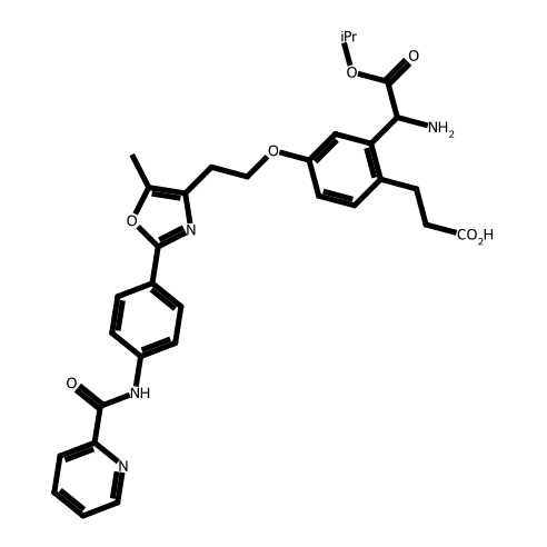 Cc1oc(-c2ccc(NC(=O)c3ccccn3)cc2)nc1CCOc1ccc(CCC(=O)O)c(C(N)C(=O)OC(C)C)c1